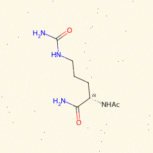 CC(=O)N[C@@H](CCCNC(N)=O)C(N)=O